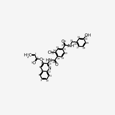 C=CC(=O)Oc1cc2ccccc2nc1NC(=O)c1ccc(C(=O)NCc2cccc(O)c2)cc1Cl